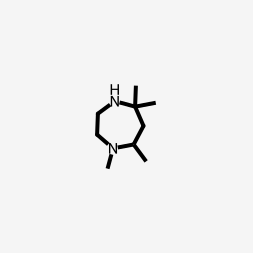 CC1CC(C)(C)NCCN1C